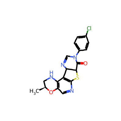 C[C@H]1CNc2c(cnc3c2C2N=CN(c4ccc(Cl)cc4)C(=O)C2S3)O1